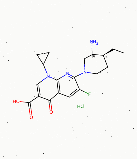 CC[C@H]1CCN(c2nc3c(cc2F)c(=O)c(C(=O)O)cn3C2CC2)C[C@@H]1N.Cl